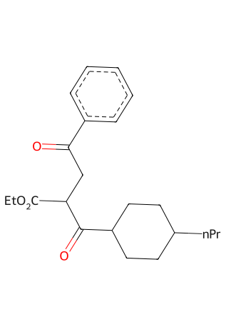 CCCC1CCC(C(=O)C(CC(=O)c2ccccc2)C(=O)OCC)CC1